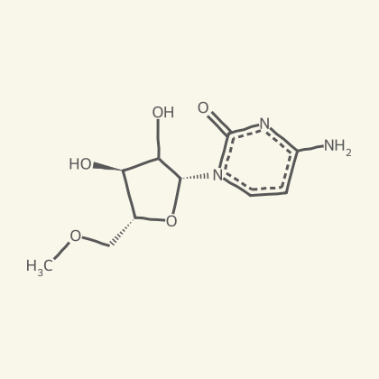 COC[C@H]1O[C@@H](n2ccc(N)nc2=O)C(O)[C@@H]1O